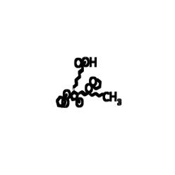 CCCCC[C@@H](C=C[C@H]1C(=O)C[C@H](OC2CCCCO2)[C@@H]1CC=CCC=CC(=O)O)OC1CCCCO1